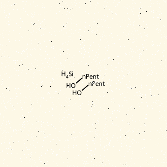 CCCCCO.CCCCCO.[SiH4]